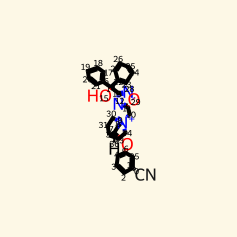 N#Cc1cccc(O[C@H]2C[N+]3(Cc4nc(C(O)(c5ccccc5)c5ccccc5)no4)CCC2CC3)c1